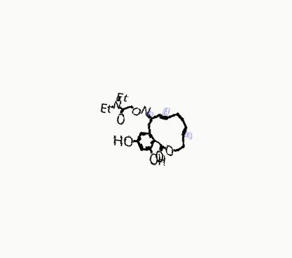 CCN(CC)C(=O)CO/N=C1/C=C/CC/C=C/CCOC(=O)c2c(O)cc(O)cc2C1